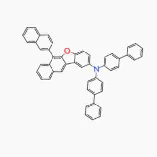 c1ccc(-c2ccc(N(c3ccc(-c4ccccc4)cc3)c3ccc4oc5c(-c6ccc7ccccc7c6)c6ccccc6cc5c4c3)cc2)cc1